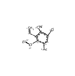 C=Cc1c(C#N)c(Cl)cc(C(C)=O)c1OCC